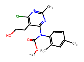 Cc1nc(Cl)c(CCO)c(N(C(=O)OC(C)(C)C)c2ccc(C(F)(F)F)cc2C(F)(F)F)n1